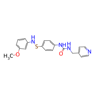 COc1cccc(NSc2ccc(NC(=O)NCc3ccncc3)cc2)c1